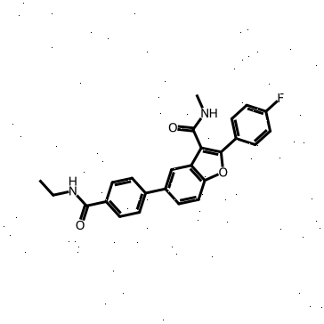 CCNC(=O)c1ccc(-c2ccc3oc(-c4ccc(F)cc4)c(C(=O)NC)c3c2)cc1